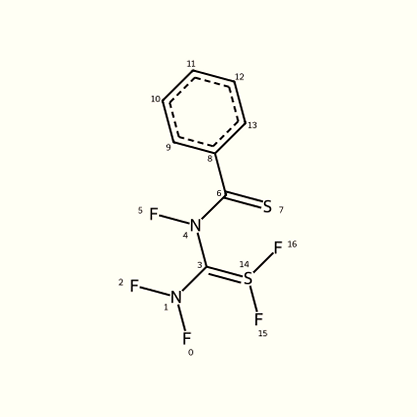 FN(F)C(N(F)C(=S)c1ccccc1)=S(F)F